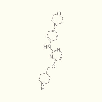 c1cc(OCC2CCNCC2)nc(Nc2ccc(N3CCOCC3)cc2)n1